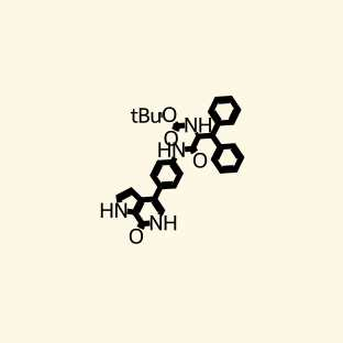 CC(C)(C)OC(=O)N[C@H](C(=O)Nc1ccc(-c2c[nH]c(=O)c3[nH]ccc23)cc1)C(c1ccccc1)c1ccccc1